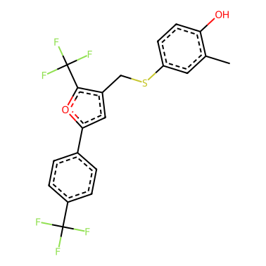 Cc1cc(SCc2cc(-c3ccc(C(F)(F)F)cc3)oc2C(F)(F)F)ccc1O